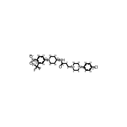 O=C(CCN1CCN(c2ccc(Cl)cc2)CC1)NC1CCN(c2ccc([N+](=O)[O-])c(C(F)(F)F)c2)CC1